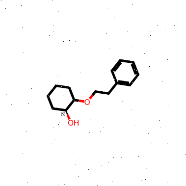 O[C@H]1CCCCC1OCCc1ccccc1